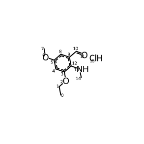 CCOc1cc(OC)cc(C=O)c1NC.Cl